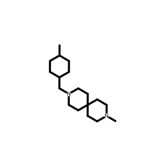 CC1CCC(CN2CCC3(CCN(C)CC3)CC2)CC1